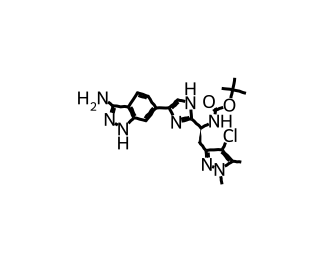 Cc1c(Cl)c(C[C@H](NC(=O)OC(C)(C)C)c2nc(-c3ccc4c(N)n[nH]c4c3)c[nH]2)nn1C